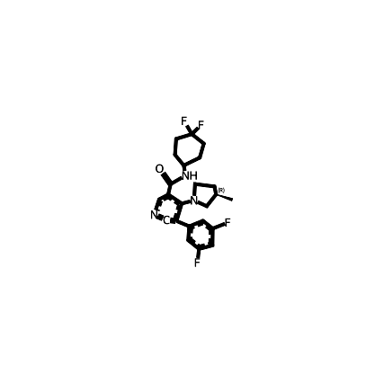 C[C@@H]1CCN(c2c(C(=O)NC3CCC(F)(F)CC3)cncc2-c2cc(F)cc(F)c2)C1